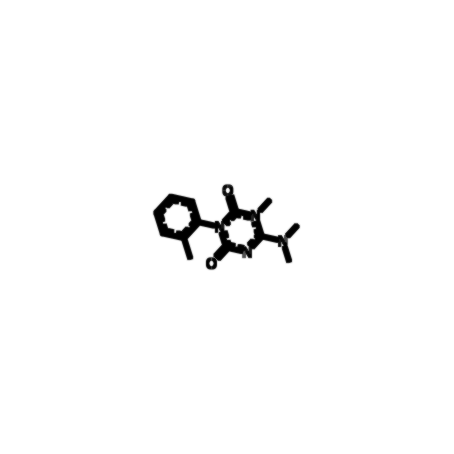 Cc1ccccc1-n1c(=O)nc(N(C)C)n(C)c1=O